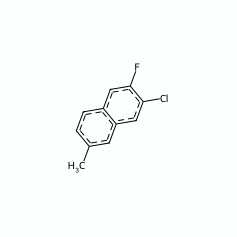 Cc1ccc2cc(F)c(Cl)cc2c1